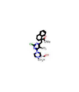 COC(=O)C1(Cc2nc(Cl)nc(N3CCN(C(=O)O)[C@@H](CO)C3)c2[N+](=O)[O-])CCCc2ccccc21